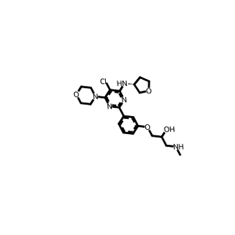 CNCC(O)COc1cccc(-c2nc(N[C@@H]3CCOC3)c(Cl)c(N3CCOCC3)n2)c1